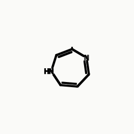 [C]1=CNC=CC=N1